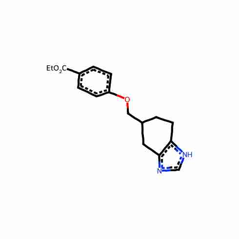 CCOC(=O)c1ccc(OCC2CCc3[nH]cnc3C2)cc1